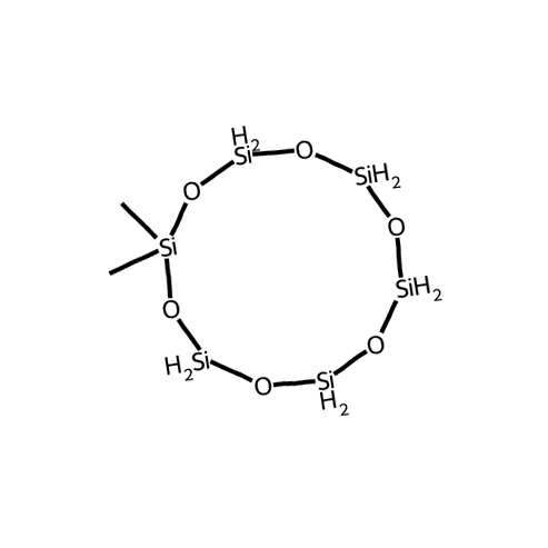 C[Si]1(C)O[SiH2]O[SiH2]O[SiH2]O[SiH2]O[SiH2]O1